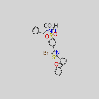 O=C(O)C(Cc1ccccc1)NS(=O)(=O)c1ccc(-c2nc(-c3cccc4c3oc3ccccc34)sc2Br)cc1